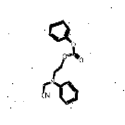 N#CCN(CCOC(=O)Oc1ccccc1)c1ccccc1